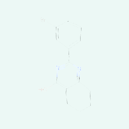 Oc1nc(-c2cccc(Br)c2)nc2c1CCCC2